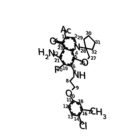 CC(=O)c1cn2c3c(c(NCCOc4ccc(Cl)c(C)c4)c(F)c(N)c3c1=O)OCC21CCCC1